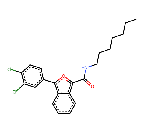 CCCCCCCNC(=O)c1oc(-c2ccc(Cl)c(Cl)c2)c2ccccc12